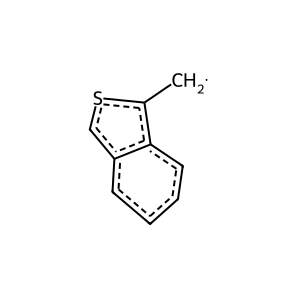 [CH2]c1scc2ccccc12